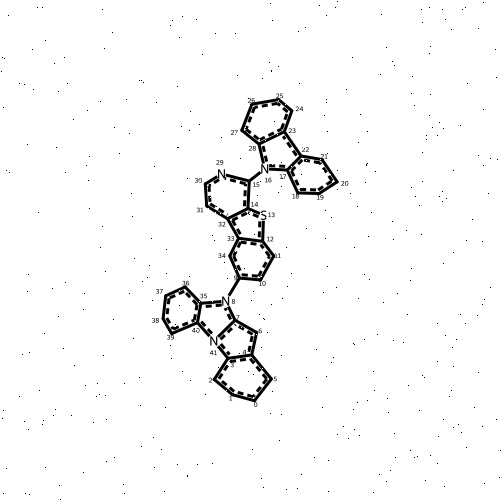 c1ccc2c(c1)cc1n(-c3ccc4sc5c(-n6c7ccccc7c7ccccc76)nccc5c4c3)c3ccccc3n21